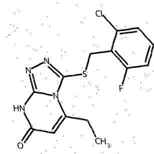 CCc1cc(=O)[nH]c2nnc(SCc3c(F)cccc3Cl)n12